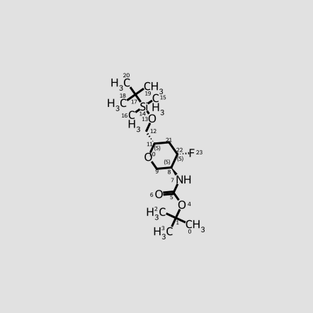 CC(C)(C)OC(=O)N[C@H]1CO[C@H](CO[Si](C)(C)C(C)(C)C)C[C@@H]1F